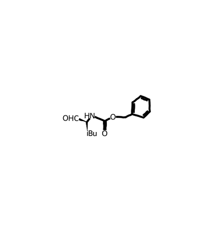 CC[C@H](C)[C@@H](C=O)NC(=O)OCc1ccccc1